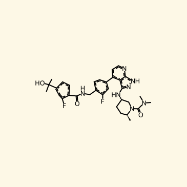 C[C@H]1CC[C@@H](Nc2n[nH]c3nccc(-c4ccc(CNC(=O)c5ccc(C(C)(C)O)cc5F)c(F)c4)c23)CN1C(=O)N(C)C